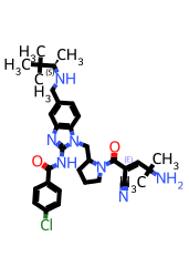 C[C@H](NCc1ccc2c(c1)nc(NC(=O)c1ccc(Cl)cc1)n2CC1CCCN1C(=O)/C(C#N)=C/C(C)(C)N)C(C)(C)C